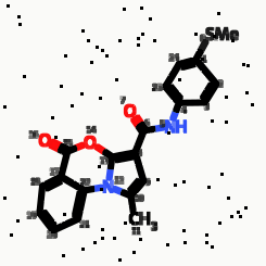 CSc1ccc(NC(=O)c2cc(C)n3c2oc(=O)c2ccccc23)cc1